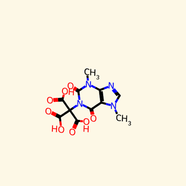 Cn1cnc2c1c(=O)n(C(C(=O)O)(C(=O)O)C(=O)O)c(=O)n2C